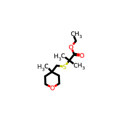 CCOC(=O)C(C)(C)SCC1(C)CCOCC1